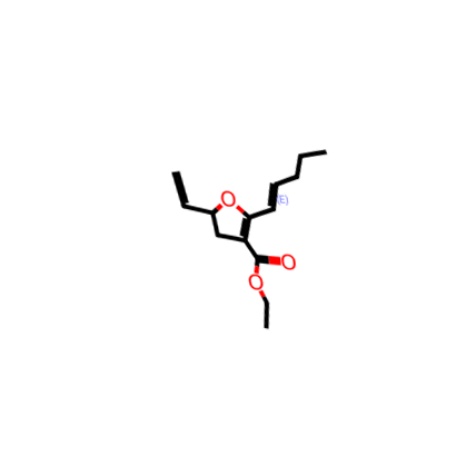 C=CC1CC(C(=O)OCC)=C(/C=C/CCC)O1